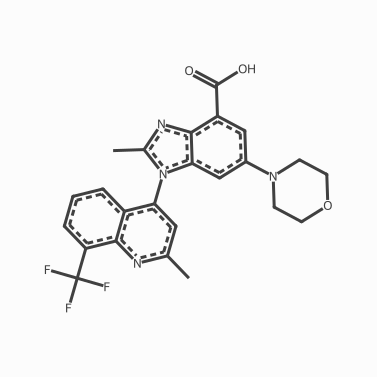 Cc1cc(-n2c(C)nc3c(C(=O)O)cc(N4CCOCC4)cc32)c2cccc(C(F)(F)F)c2n1